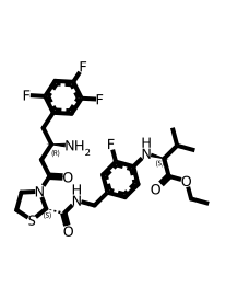 CCOC(=O)[C@@H](Nc1ccc(CNC(=O)[C@@H]2SCCN2C(=O)C[C@H](N)Cc2cc(F)c(F)cc2F)cc1F)C(C)C